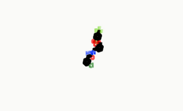 Cc1cccc(/C=N/NC(=O)Cc2cccc(Cl)c2)c1OS(=O)(=O)c1ccc(C(F)(F)F)cc1